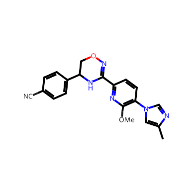 COc1nc(C2=NOCC(c3ccc(C#N)cc3)N2)ccc1-n1cnc(C)c1